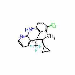 CC(C1CC1)C1(C(F)(F)F)c2cc(Cl)ccc2Nc2ncccc21